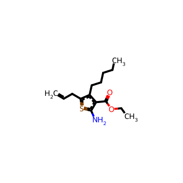 C=CCc1sc(N)c(C(=O)OCC)c1CCCCC